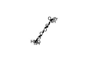 CCCNC(=O)COCCOCCOCCOCCNC(=O)C(C)C